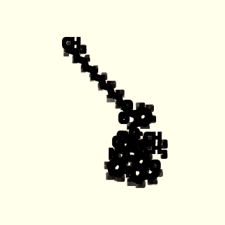 CCCCCCCCCCCCCCOC(=O)c1ccccc1COC(=O)C(OC(C)(C)C)c1c(C)nc2ccccc2c1-c1ccc2c3c(ccnc13)CCO2